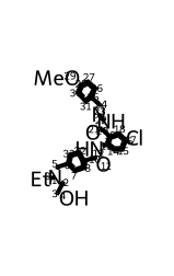 CCN(CCO)Cc1ccc(C(=O)Nc2ccc(Cl)cc2C(=O)NN=Cc2ccc(OC)cc2)cc1